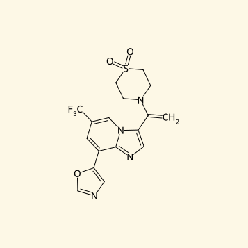 C=C(c1cnc2c(-c3cnco3)cc(C(F)(F)F)cn12)N1CCS(=O)(=O)CC1